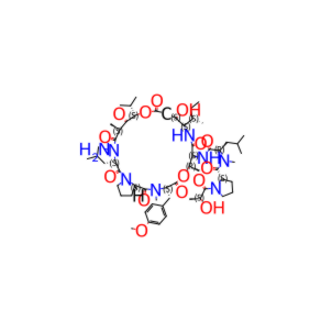 CC[C@H](C)[C@@H]1NC(=O)[C@@H](NC(=O)[C@@H](CC(C)C)N(C)C(=O)[C@@H]2CCCN2C(=O)[C@H](C)O)[C@@H](C)OC(=O)[C@H](Cc2ccc(OC)cc2)N(C)C(=O)[C@@H]2CCCN2C(=O)[C@H](CC(C)C)N(N)C(=O)[C@@H](C)C(=O)[C@H](C(C)C)OC(=O)C[C@@H]1O